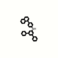 c1ccc(-c2cc(Nc3ccc(-c4cccc5ccccc45)cc3)cc(-c3ccccc3)c2)cc1